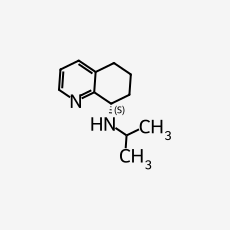 CC(C)N[C@H]1CCCc2cccnc21